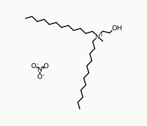 CCCCCCCCCCCC[N+](C)(CCO)CCCCCCCCCCCC.O=[N+]([O-])[O-]